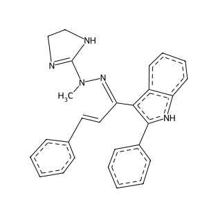 CN(N=C(C=Cc1ccccc1)c1c(-c2ccccc2)[nH]c2ccccc12)C1=NCCN1